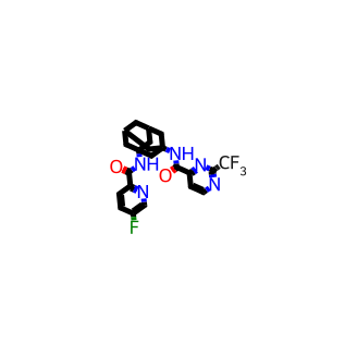 O=C(NC12CC3CC(C1)CC(NC(=O)c1ccnc(C(F)(F)F)n1)(C3)C2)c1ccc(F)cn1